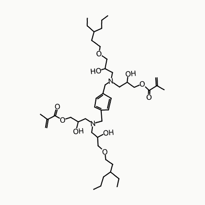 C=C(C)C(=O)OCC(O)CN(Cc1ccc(CN(CC(O)COCCC(CC)CCC)CC(O)COC(=O)C(=C)C)cc1)CC(O)COCCC(CC)CCC